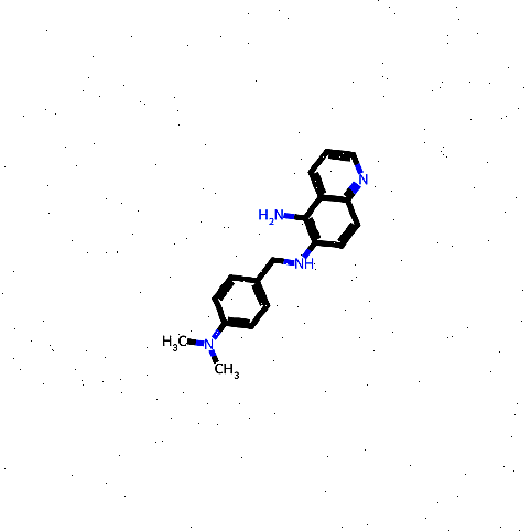 CN(C)c1ccc(CNc2ccc3ncccc3c2N)cc1